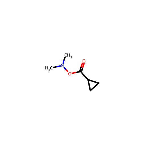 CN(C)OC(=O)C1CC1